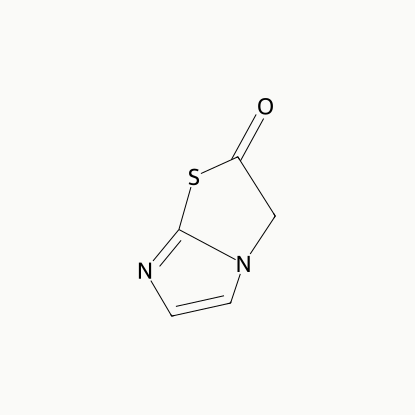 O=C1Cn2ccnc2S1